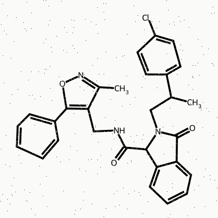 Cc1noc(-c2ccccc2)c1CNC(=O)C1c2ccccc2C(=O)N1CC(C)c1ccc(Cl)cc1